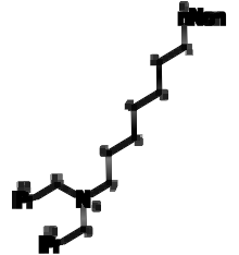 CCCCCCCCCCCCCCCCN(CC(C)C)CC(C)C